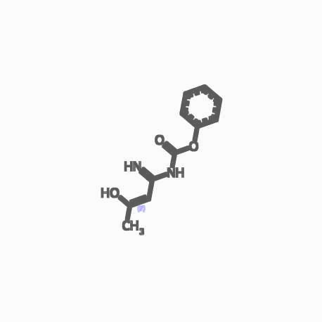 C/C(O)=C/C(=N)NC(=O)Oc1ccccc1